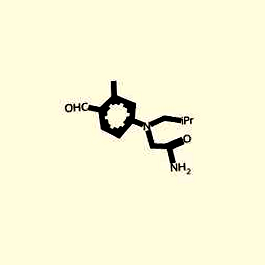 Cc1cc(N(CC(N)=O)CC(C)C)ccc1C=O